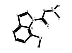 COc1cccc2ccn(C(=O)CN(C)C)c12